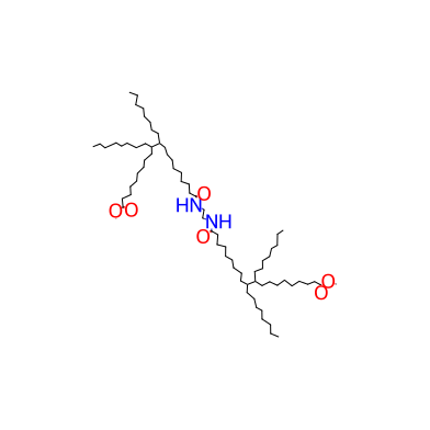 CCCCCCCCC(CCCCCCCCC(=O)NCCNC(=O)CCCCCCCCC(CCCCCCCC)C(CCCCCCCC)CCCCCCCCC(=O)OC)C(CCCCCCCC)CCCCCCCCC(=O)OC